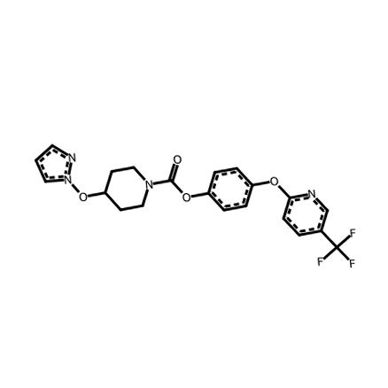 O=C(Oc1ccc(Oc2ccc(C(F)(F)F)cn2)cc1)N1CCC(On2cccn2)CC1